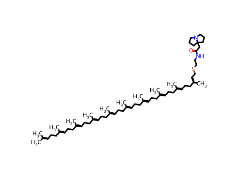 CC(C)=CCC/C(C)=C/CC/C(C)=C/CC/C(C)=C/CC/C(C)=C/CC/C(C)=C/CC/C(C)=C/CC/C(C)=C/CC/C(C)=C/CC/C(C)=C/CSCCNC(=O)CC12CCCN1CCC2